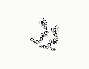 CCC(CC)NC(=O)Nc1ccc(Oc2ccc(NC(=O)c3ccc(OC4CCN(Cc5ccccc5)CC4)cc3)cc2C)cc1.CCC(CC)NC(=O)Nc1ccc(Oc2ccc(NC(=O)c3ccc(OC4CCNCC4)c(CCO)c3)cc2C)cc1F